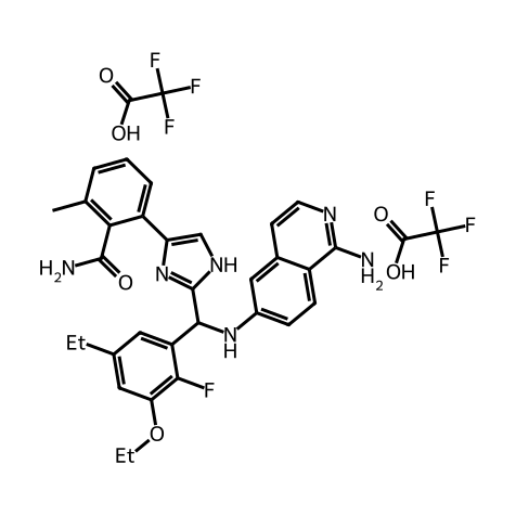 CCOc1cc(CC)cc(C(Nc2ccc3c(N)nccc3c2)c2nc(-c3cccc(C)c3C(N)=O)c[nH]2)c1F.O=C(O)C(F)(F)F.O=C(O)C(F)(F)F